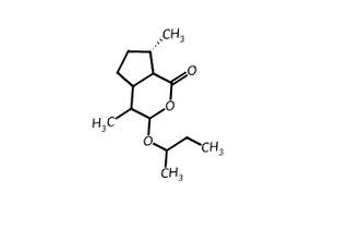 CCC(C)OC1OC(=O)C2C(CC[C@@H]2C)C1C